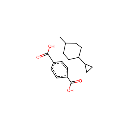 CC1CCC(C2CC2)CC1.O=C(O)c1ccc(C(=O)O)cc1